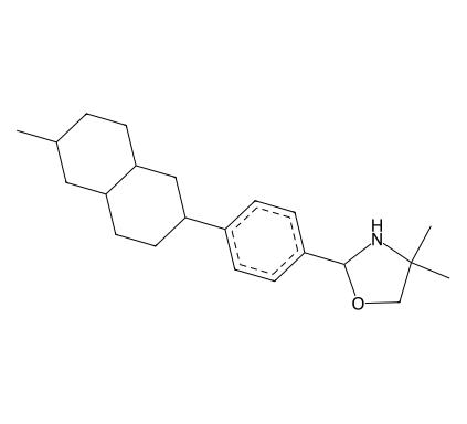 CC1CCC2CC(c3ccc(C4NC(C)(C)CO4)cc3)CCC2C1